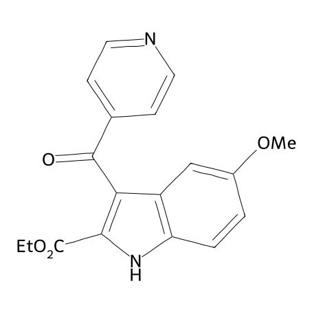 CCOC(=O)c1[nH]c2ccc(OC)cc2c1C(=O)c1ccncc1